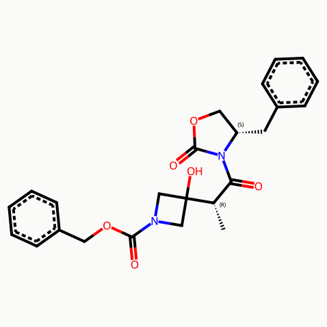 C[C@@H](C(=O)N1C(=O)OC[C@@H]1Cc1ccccc1)C1(O)CN(C(=O)OCc2ccccc2)C1